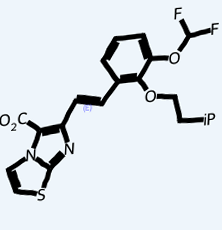 CC(C)CCOc1c(/C=C/c2nc3sccn3c2C(=O)O)cccc1OC(F)F